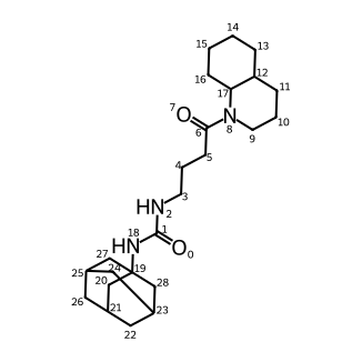 O=C(NCCCC(=O)N1CCCC2CCCCC21)NC12CC3CC(CC(C3)C1)C2